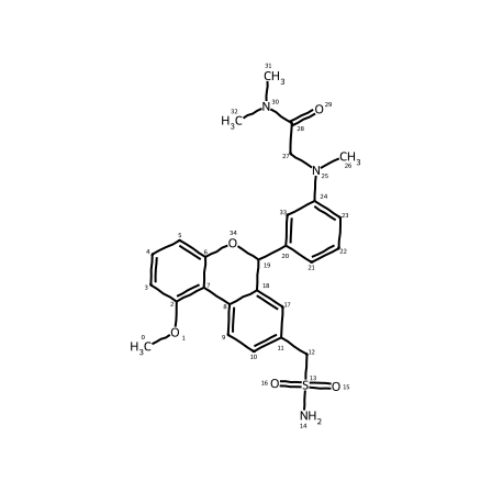 COc1cccc2c1-c1ccc(CS(N)(=O)=O)cc1C(c1cccc(N(C)CC(=O)N(C)C)c1)O2